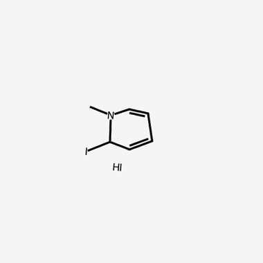 CN1C=CC=CC1I.I